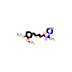 COc1ccc(/C=C/C=C/C(=O)NC(C)N2CCNCC2)cc1OC